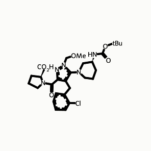 COCn1nc(C(=O)N2CCC[C@H]2C(=O)O)c(Cc2ccccc2Cl)c1N1CCC[C@@H](NC(=O)OC(C)(C)C)C1